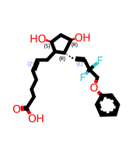 O=C(O)CCC/C=C\CC1[C@@H](/C=C/C(F)(F)COc2ccccc2)[C@H](O)C[C@@H]1O